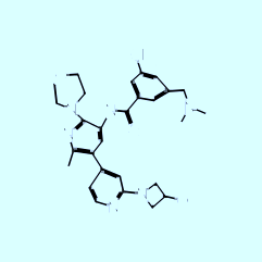 Cc1nc(N2CCOCC2)c(NC(=O)c2cc(CN(C)C)cc(C(F)(F)F)c2)cc1-c1ccnc(N2CC(O)C2)c1